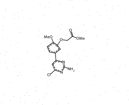 COC(=O)COc1cc(-c2cc(Cl)nc(N)n2)ccc1OC